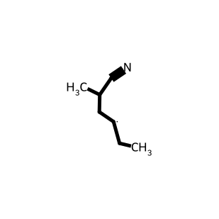 CC[CH]CC(C)C#N